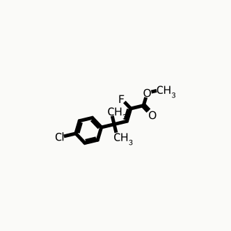 COC(=O)C(F)=CC(C)(C)c1ccc(Cl)cc1